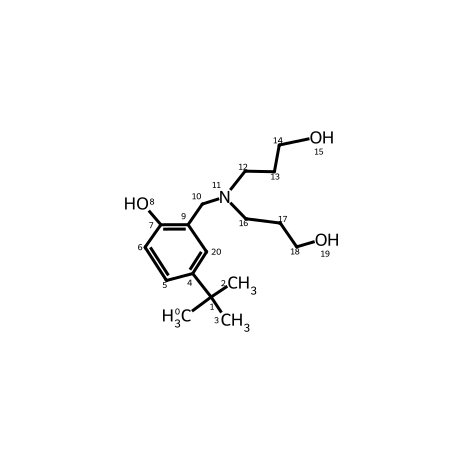 CC(C)(C)c1ccc(O)c(CN(CCCO)CCCO)c1